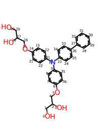 OCC(O)COc1ccc(N(c2ccc(OCC(O)CO)cc2)c2ccc(-c3ccccc3)cc2)cc1